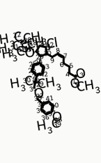 COC(=O)CCC/C=C\CC1[C@H](Cl)C[C@@H](O[Si](C)(C)C(C)(C)C)[C@@H]1c1ccc(C(C)(C)COCc2ccc(OC)cc2)cc1